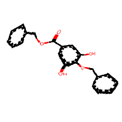 O=C(OCc1ccccc1)c1cc(O)c(OCc2ccccc2)c(O)c1